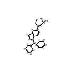 CC/C(=C\C(=O)O)c1ccc2c(ccn2C(c2ccccc2)c2ccccc2)c1